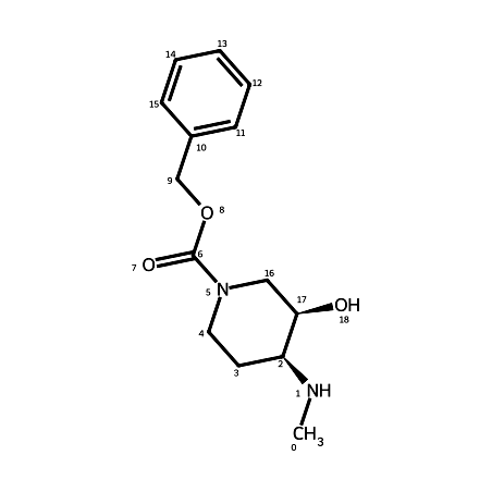 CN[C@H]1CCN(C(=O)OCc2ccccc2)C[C@H]1O